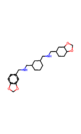 c1cc2c(cc1CNCC1CCCC(CNCC3CCC4OCOC4C3)C1)OCO2